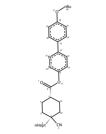 CCCCCCC[C@]1(C#N)CC[C@H](C(=O)Oc2ccc(-c3ccc(OCCCC)cc3)nn2)CC1